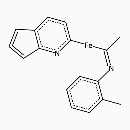 C[C](=Nc1ccccc1C)[Fe][c]1ccc2c(n1)C=C=C2